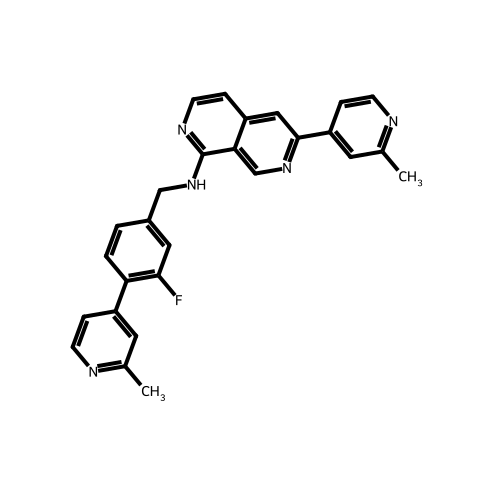 Cc1cc(-c2cc3ccnc(NCc4ccc(-c5ccnc(C)c5)c(F)c4)c3cn2)ccn1